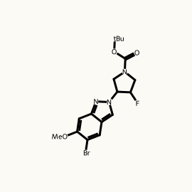 COc1cc2nn(C3CN(C(=O)OC(C)(C)C)CC3F)cc2cc1Br